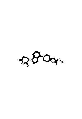 CC(C)(C)OC(=O)CC1(O)CCN(c2cccc3c2CCN3[C@H]2CCC(=O)NC2=O)CC1